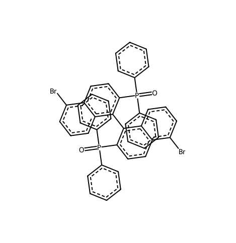 O=P(c1ccccc1)(c1ccccc1)c1ccc2c(Br)cccc2c1-c1c(P(=O)(c2ccccc2)c2ccccc2)ccc2c(Br)cccc12